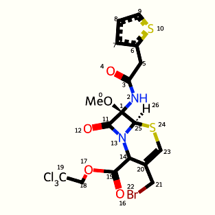 CO[C@]1(NC(=O)Cc2cccs2)C(=O)N2C(C(=O)OCC(Cl)(Cl)Cl)C(CBr)=CS[C@@H]21